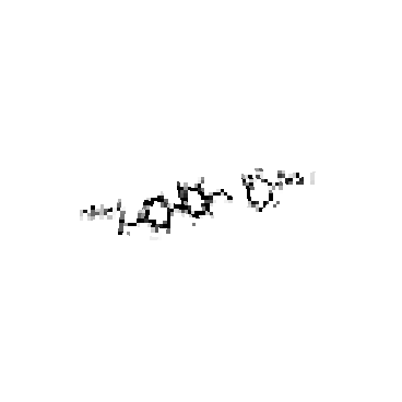 CCCCCCCCCOc1ccc(-c2ccc(CC[C@H]3OC[C@H](CCCCCCCC)CO3)cn2)cc1